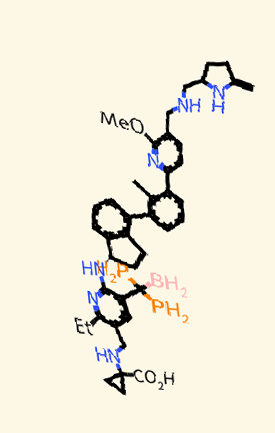 BC(P)(P)c1cc(CNC2(C(=O)O)CC2)c(CC)nc1N[C@H]1CCc2c(-c3cccc(-c4ccc(CNCC5CCC(=C)N5)c(OC)n4)c3C)cccc21